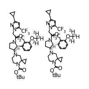 [2H]C([2H])([2H])Oc1cccc([C@@H]2[C@H](N3CCN(C(=O)OC(C)(C)C)C4(CC4)C3)CCN2C(=O)Cn2nc(C3CC3)cc2C(F)(F)F)c1C.[2H]C([2H])([2H])Oc1cccc([C@H]2[C@@H](N3CCN(C(=O)OC(C)(C)C)C4(CC4)C3)CCN2C(=O)Cn2nc(C3CC3)cc2C(F)(F)F)c1C